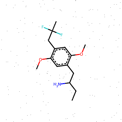 CCC(N)Cc1cc(OC)c(CC(C)(F)F)cc1OC